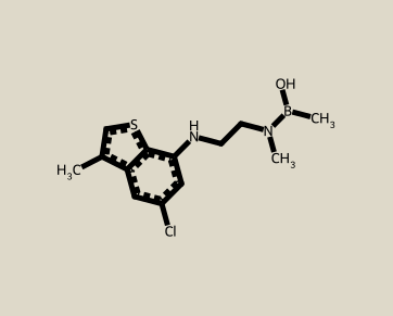 CB(O)N(C)CCNc1cc(Cl)cc2c(C)csc12